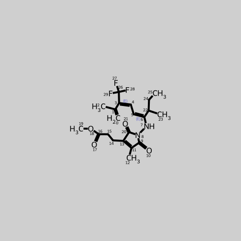 C=C(C)/C(=C\C=C(\NN1C(=O)C(C)=C(CCC(=O)OC)C1=O)C(C)CC)C(F)(F)F